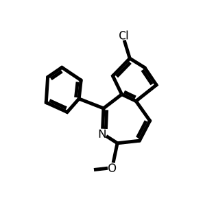 COC1C=Cc2ccc(Cl)cc2C(c2ccccc2)=N1